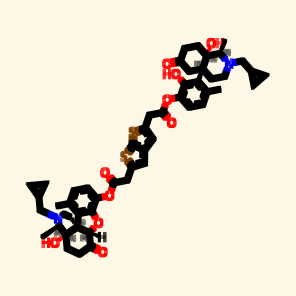 Cc1ccc(OC(=O)Cc2cc3cc(CC(=O)Oc4ccc(C)c5c4O[C@H]4C(=O)CC[C@@]6(O)[C@@H](C)N(CC7CC7)CC[C@]546)sc3s2)c(O)c1[C@]12CCN(CC3CC3)[C@H](C)[C@]1(O)CCC(=O)C2